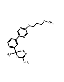 COCCCOc1cnc(-c2cccc(C(C)(C)OC(N)=O)c2)cn1